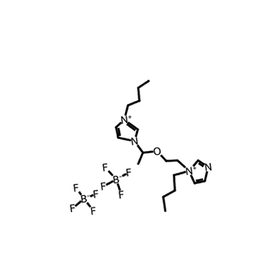 CCCC[n+]1ccn(C(C)OCC[N+]2(CCCC)C=CN=C2)c1.F[B-](F)(F)F.F[B-](F)(F)F